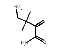 C=C(C(N)=O)C(C)(C)CN